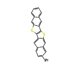 CC(C)c1ccc2cc3c(cc2c1)sc1c2cc4ccccc4cc2sc31